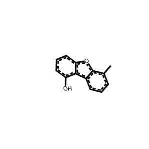 Cc1cccc2c1oc1cccc(O)c12